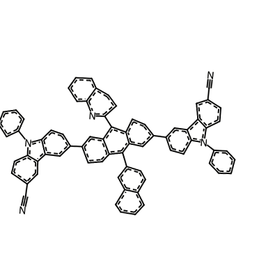 N#Cc1ccc2c(c1)c1cc(-c3ccc4c(-c5ccc6ccccc6n5)c5cc(-c6ccc7c(c6)c6cc(C#N)ccc6n7-c6ccccc6)ccc5c(-c5ccc6ccccc6c5)c4c3)ccc1n2-c1ccccc1